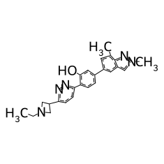 CCN1CC(c2ccc(-c3ccc(-c4cc(C)c5nn(C)cc5c4)cc3O)nn2)C1